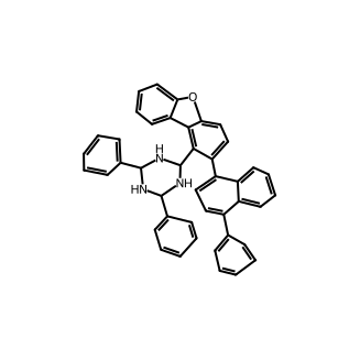 c1ccc(-c2ccc(-c3ccc4oc5ccccc5c4c3C3NC(c4ccccc4)NC(c4ccccc4)N3)c3ccccc23)cc1